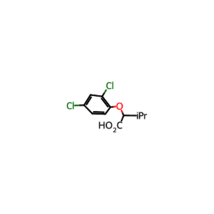 CC(C)C(Oc1ccc(Cl)cc1Cl)C(=O)O